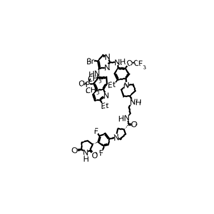 CCc1ccc2c(P(C)(C)=O)c(Nc3nc(Nc4cc(CC)c(N5CCC(NCCNC(=O)[C@@H]6CCN(c7cc(F)c([C@H]8CCC(=O)NC8=O)c(F)c7)C6)CC5)cc4OC(F)(F)F)ncc3Br)ccc2n1